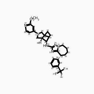 COc1cc(N2C[C@H]3[C@H](Nc4nc5n(n4)CCCC[C@@H]5c4cccc(C(F)(F)F)c4)C4CCC43C2)ccn1